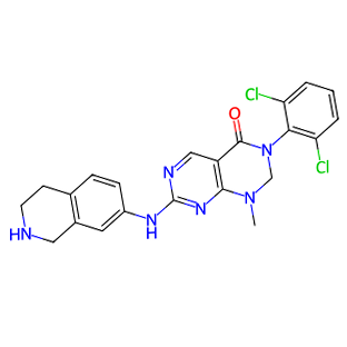 CN1CN(c2c(Cl)cccc2Cl)C(=O)c2cnc(Nc3ccc4c(c3)CNCC4)nc21